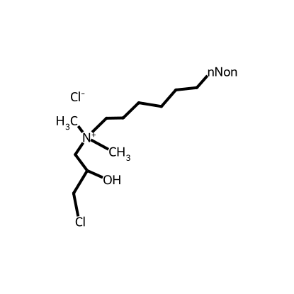 CCCCCCCCCCCCCCC[N+](C)(C)CC(O)CCl.[Cl-]